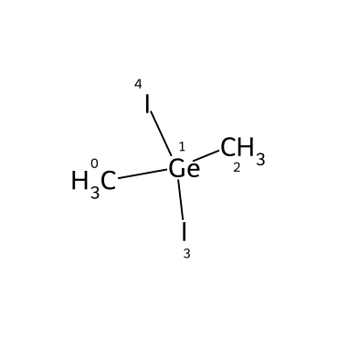 [CH3][Ge]([CH3])([I])[I]